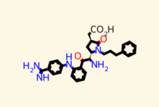 N=C(N)c1ccc(Nc2ccccc2C(=O)C(N)[C@@H]2C[C@@H](CC(=O)O)C(=O)N2CCCc2ccccc2)cc1